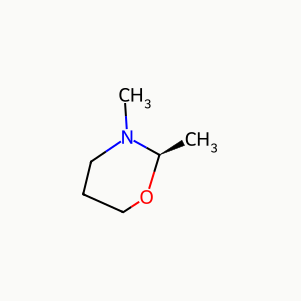 C[C@H]1OCCCN1C